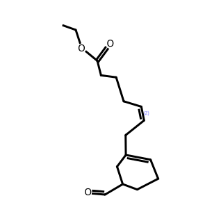 CCOC(=O)CCC/C=C\CC1=CCCC(C=O)C1